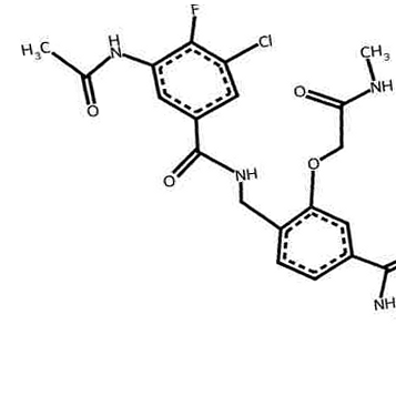 CNC(=O)COc1cc(C(=N)N)ccc1CNC(=O)c1cc(Cl)c(F)c(NC(C)=O)c1